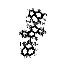 Fc1c(B2Nc3cccc4cccc(c34)N2)c2nonc2c2c(F)c(B3Nc4cccc5cccc(c45)N3)c3nonc3c12